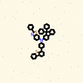 c1ccc(-c2nc3ccc(N(c4ccc(-c5cccc6c5sc5ccccc56)cc4)c4ccc5c(c4)C(c4ccccc4)(c4ccccc4)c4ccccc4-5)cc3s2)cc1